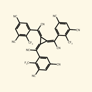 N#CC(=C1C(=C(C#N)c2cc(C#N)cc(C#N)c2C(F)(F)F)C1=C(C#N)c1cc(C#N)cc(C#N)c1C(F)(F)F)c1cc(C#N)cc(C#N)c1C(F)(F)F